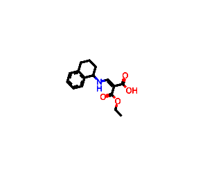 CCOC(=O)C(=CNC1CCCc2ccccc21)C(=O)O